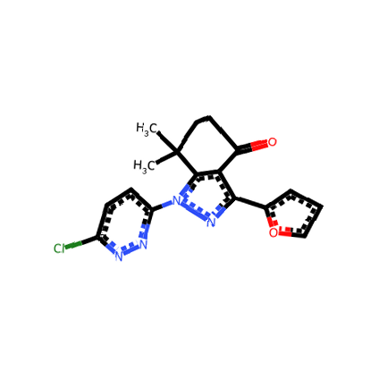 CC1(C)CCC(=O)c2c(-c3ccco3)nn(-c3ccc(Cl)nn3)c21